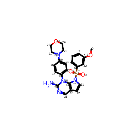 COc1cccc(S(=O)(=O)n2ccc3c2N(c2ccc(N4CCOCC4)cc2)C(N)N=C3)c1